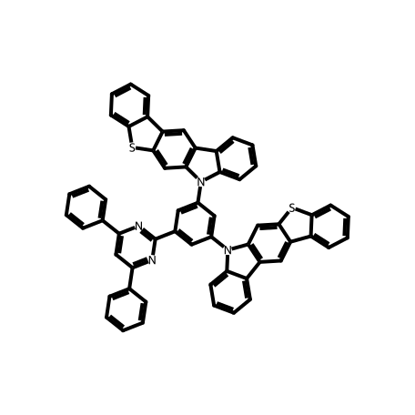 c1ccc(-c2cc(-c3ccccc3)nc(-c3cc(-n4c5ccccc5c5cc6c(cc54)sc4ccccc46)cc(-n4c5ccccc5c5cc6c(cc54)sc4ccccc46)c3)n2)cc1